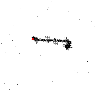 CN1Cc2c(Cl)cc(Cl)cc2[C@@H](c2cccc(S(=O)(=O)NCCOCCOCCNC(=O)NCCCCNC(=O)NCCOCCOCCNS(=O)(=O)c3ccccc3)c2)C1